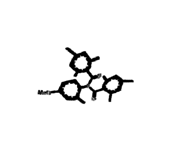 COc1ccc(P(C(=O)c2c(C)cc(C)cc2C)C(=O)c2c(C)cc(C)cc2C)c(C)c1